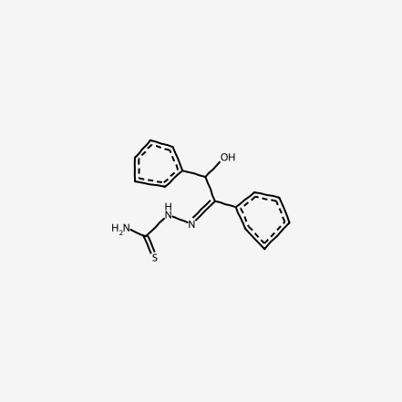 NC(=S)NN=C(c1ccccc1)C(O)c1ccccc1